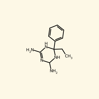 CCC1(c2ccccc2)NC(N)=NC(N)N1